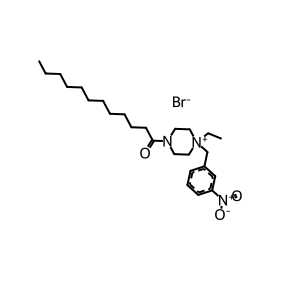 CCCCCCCCCCCC(=O)N1CC[N+](CC)(Cc2cccc([N+](=O)[O-])c2)CC1.[Br-]